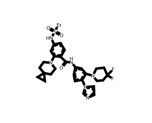 CCS(=O)(=O)Nc1ccc(C(=O)Nc2ccc(-n3ccnc3)c(N3CCC(F)(F)CC3)c2)c(N2CCC3(CC2)CC3)c1